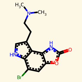 CN(C)CCc1c[nH]c2c(Br)cc3oc(=O)[nH]c3c12